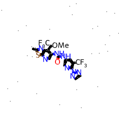 COC(c1c(NC(=O)Nc2cnc(-n3nccn3)c(C(F)(F)F)c2)cnc2sc(C)nc12)C(F)(F)F